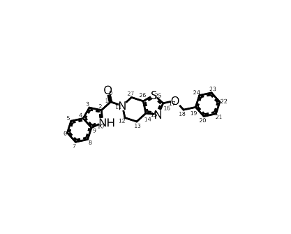 O=C(c1cc2ccccc2[nH]1)N1CCc2nc(OCc3ccccc3)sc2C1